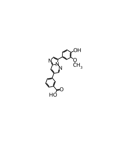 COc1cc(-c2cnc3cc(-c4cccc(C(=O)O)c4)cnn23)ccc1O